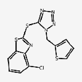 Clc1cccc2sc(Sc3nnnn3Cc3cccs3)nc12